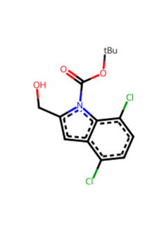 CC(C)(C)OC(=O)n1c(CO)cc2c(Cl)ccc(Cl)c21